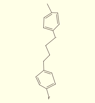 Cc1ccc([CH]CCCc2ccc(F)cc2)cc1